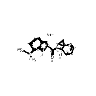 CN(C)c1cccc2cc(C(=O)N[C@@H]3C4CCN(CC4)C34CC4)sc12.Cl